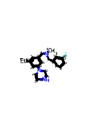 CCc1cc(CN(C)Cc2cccc(F)c2)cc(N2CCNCC2)c1